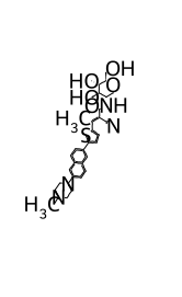 C/C(=C(/C#N)C(=O)N[C@H]1CO[C@H](CO)[C@@H](O)[C@@H]1O)c1ccc(-c2ccc3cc(N4CCN(C)CC4)ccc3c2)s1